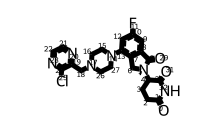 O=C1CCC(N2Cc3c(cc(F)cc3N3CCN(Cc4nccnc4Cl)CC3)C2=O)C(=O)N1